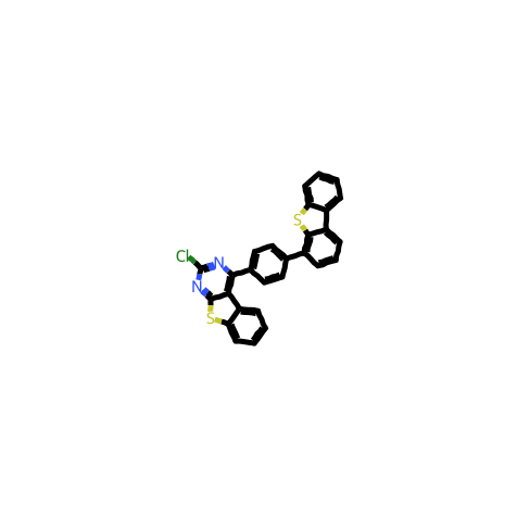 Clc1nc(-c2ccc(-c3cccc4c3sc3ccccc34)cc2)c2c(n1)sc1ccccc12